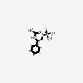 CC(C)(C)C(=O)N[C@@H](COP(=O)(O)O)c1ccccc1